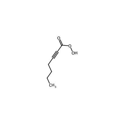 CCCCC#CC(=O)OO